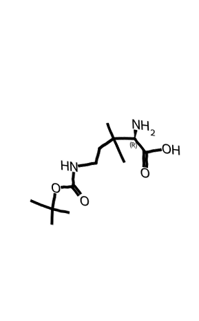 CC(C)(C)OC(=O)NCCC(C)(C)[C@@H](N)C(=O)O